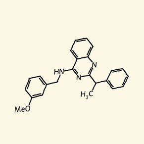 COc1cccc(CNc2nc(C(C)c3ccccc3)nc3ccccc23)c1